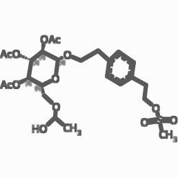 CC(=O)O[C@@H]1[C@@H](OC(C)=O)[C@H](OCCc2ccc(CCOS(C)(=O)=O)cc2)O[C@H](COC(C)O)[C@H]1OC(C)=O